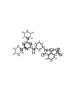 O=C(Nc1cccc(Nc2nc(N3CCCCC3)nc(N3CCCCC3)n2)c1)c1cccc([N+](=O)[O-])c1O